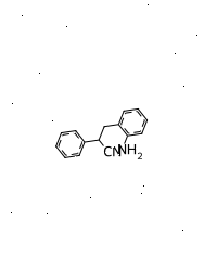 N#CC(Cc1ccccc1N)c1ccccc1